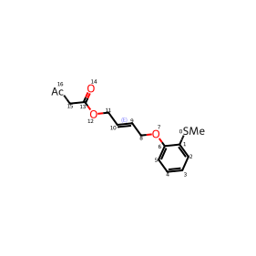 CSc1ccccc1OC/C=C/COC(=O)CC(C)=O